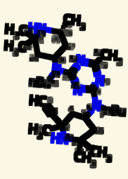 C#CC1(C)CC(N(CCCC)c2nc(C)nc(N(CCCC)C3C[C@@H](C)NC(C)(C)C3)n2)CC(C)(C)N1